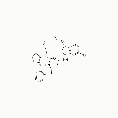 C=CCOC1CC(NCC[C@H](Cc2ccccc2)NC(=O)C(CC=C)N2CCCC2=O)c2cc(OC)ccc21